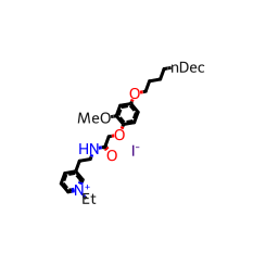 CCCCCCCCCCCCCCOc1ccc(OCC(=O)NCCc2ccc[n+](CC)c2)c(OC)c1.[I-]